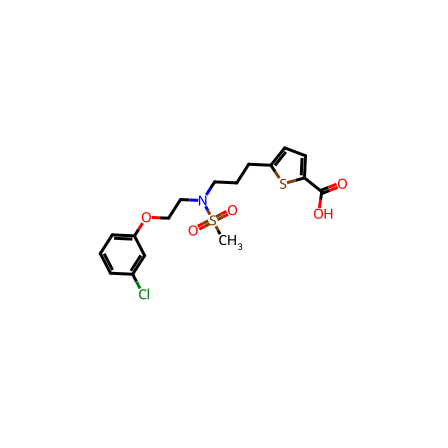 CS(=O)(=O)N(CCCc1ccc(C(=O)O)s1)CCOc1cccc(Cl)c1